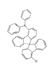 Clc1cccc2c1-c1ccccc1C21c2ccccc2-c2c(N(c3ccccc3)c3ccccc3)cccc21